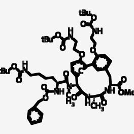 COC(=O)[C@@H]1Cc2ccc(OCCNC(=O)OC(C)(C)C)c(c2)-c2cc(ccc2OCCNC(=O)OC(C)(C)C)[C@H](N(C)C(=O)[C@H](CCCCNC(=O)OC(C)(C)C)NC(=O)OCc2ccccc2)C(=O)N[C@@H](C)C(=O)N1